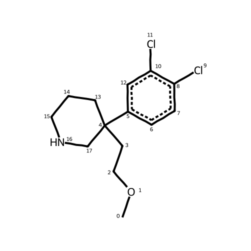 COCCC1(c2ccc(Cl)c(Cl)c2)CCCNC1